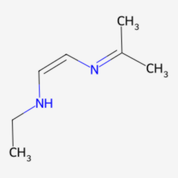 CCN/C=C\N=C(C)C